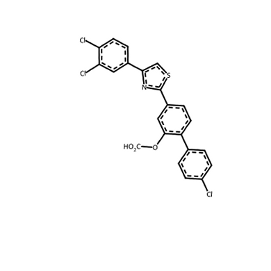 O=C(O)Oc1cc(-c2nc(-c3ccc(Cl)c(Cl)c3)cs2)ccc1-c1ccc(Cl)cc1